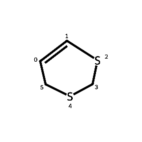 C1=CSCSC1